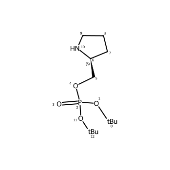 CC(C)(C)OP(=O)(OC[C@@H]1CCCN1)OC(C)(C)C